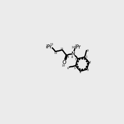 Cc1cccc(C)c1N(C(=O)CCC(C)C)C(C)C